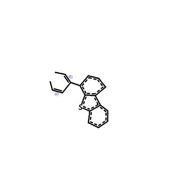 C/C=C\C(=C/C)c1cccc2c1sc1ccccc12